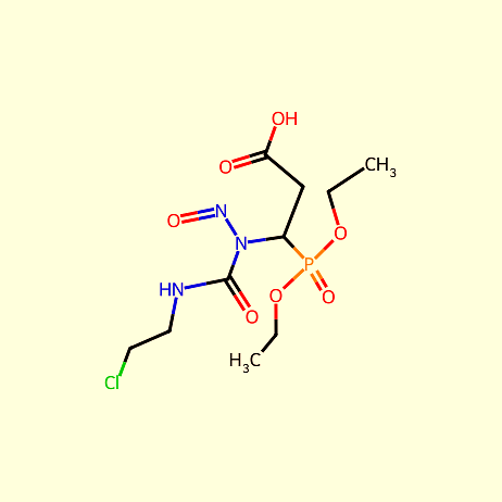 CCOP(=O)(OCC)C(CC(=O)O)N(N=O)C(=O)NCCCl